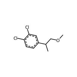 COCC(C)c1ccc(Cl)c(Cl)c1